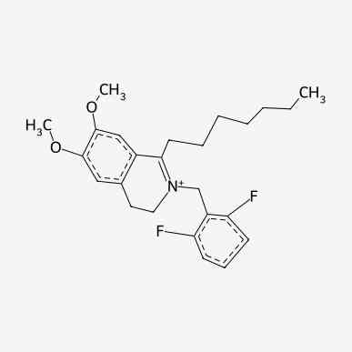 CCCCCCCC1=[N+](Cc2c(F)cccc2F)CCc2cc(OC)c(OC)cc21